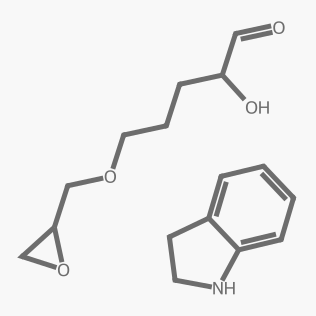 O=CC(O)CCCOCC1CO1.c1ccc2c(c1)CCN2